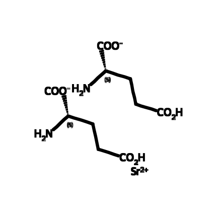 N[C@@H](CCC(=O)O)C(=O)[O-].N[C@@H](CCC(=O)O)C(=O)[O-].[Sr+2]